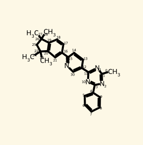 Cc1nc(-c2ccccc2)nc(-c2ccc(-c3ccc4c(c3)C(C)(C)CC4(C)C)nc2)n1